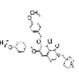 COc1ccc(COc2cc3ncn(CC45CCN(CC4)C5)c(=O)c3c(Cl)c2OCc2ccc(OC)cc2)cc1